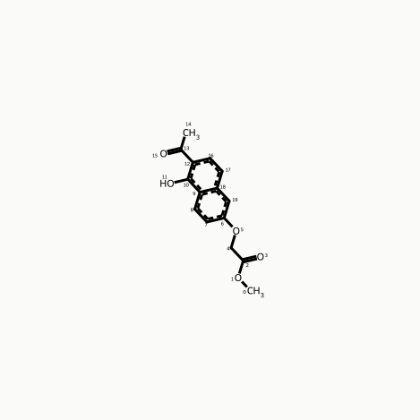 COC(=O)COc1ccc2c(O)c(C(C)=O)ccc2c1